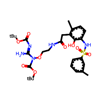 Cc1cccc(S(=O)(=O)Nc2ccc(C)c(CC(=O)NCCON(C(=O)OC(C)(C)C)C(N)=NC(=O)OC(C)(C)C)c2O)c1